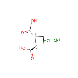 Cl.Cl.O=C(O)[C@@H]1CC[C@H]1C(=O)O